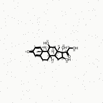 C[C@]12C=CC(=O)C=C1CC[C@@H]1[C@@H]2C(O)C[C@@]2(C)[C@H]1CC(O)[C@]2(O)C(=O)CO